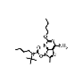 CCCCOc1nc(N)c2nc(C)n(OC(=O)N(CCCC)C(C)(C)C)c2n1